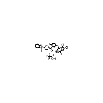 O=C(O)C(F)(F)F.O=C(c1cc(Cc2c[nH]c(=O)c3cc(Cl)c(Cl)n23)ccc1F)N1CCC(c2nc3ccccc3[nH]2)CC1